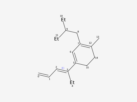 C=C/C=C(\CC)C1=CC(CC(CC)CC)=C(C)CC1